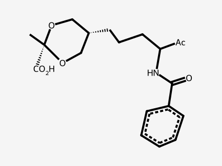 CC(=O)C(CCC[C@H]1CO[C@@](C)(C(=O)O)OC1)NC(=O)c1ccccc1